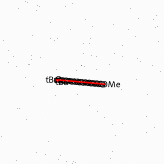 COCCOCCOCCOCCOCCOCCOCCOCCOCCOCCOCCOCCOCCOCCOCCOCCOCCOCCOCCOCCOCCOCCOCCOCCC(=O)N(CCC(C)(C)C)CCC(C)(C)C